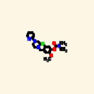 COc1cc(CN2CCN(c3ccccn3)CC2)c(Cl)cc1OC(=O)N(C)C